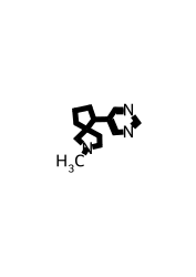 CN1CCC2(CCCC2c2cncnc2)C1